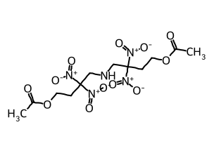 CC(=O)OCCC(CNCC(CCOC(C)=O)([N+](=O)[O-])[N+](=O)[O-])([N+](=O)[O-])[N+](=O)[O-]